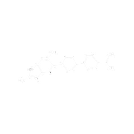 C=C(C)c1ccc(-c2ccc(-c3nc4nc(C)[nH]c4cc3C)cc2)cc1